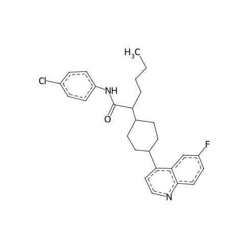 CCCCC(C(=O)Nc1ccc(Cl)cc1)C1CCC(c2ccnc3ccc(F)cc23)CC1